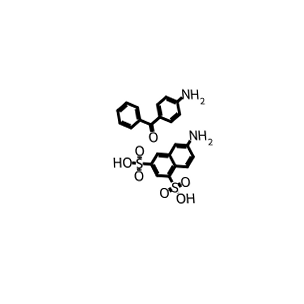 Nc1ccc(C(=O)c2ccccc2)cc1.Nc1ccc2c(S(=O)(=O)O)cc(S(=O)(=O)O)cc2c1